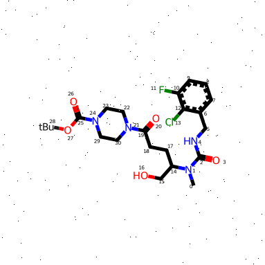 CN(C(=O)NCc1cccc(F)c1Cl)C(CO)CCC(=O)N1CCN(C(=O)OC(C)(C)C)CC1